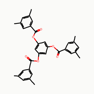 Cc1cc(C)cc(C(=O)Oc2cc(OC(=O)c3cc(C)cc(C)c3)cc(OC(=O)c3cc(C)cc(C)c3)c2)c1